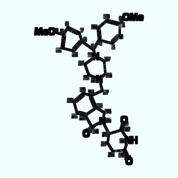 COc1ccc(C(c2ccc(OC)cc2)N2CCN(Cc3cccc4c3CN(C3CCC(=O)NC3=O)C4=O)CC2)cc1